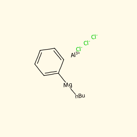 CCC[CH2][Mg][c]1ccccc1.[Al+3].[Cl-].[Cl-].[Cl-]